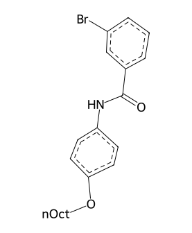 CCCCCCCCOc1ccc(NC(=O)c2cccc(Br)c2)cc1